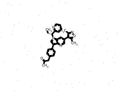 CC[C@H](c1ccccn1)n1cc(-c2ccc(CC(C)=O)cc2)c2ncc(-c3c(C)noc3C)cc21